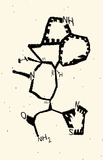 CN1C[C@H](C(C(N)=O)c2nccs2)C[C@@H]2c3cccc4[nH]cc(c34)C[C@H]21